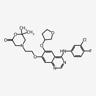 CC1(C)CN(CCOc2cc3ncnc(Nc4ccc(F)c(Cl)c4)c3cc2OC2CCOC2)CC(=O)O1